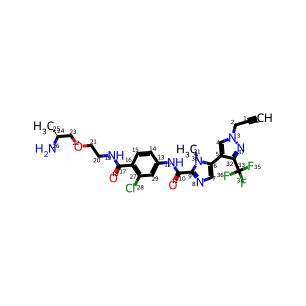 C#CCn1cc(-c2cnc(C(=O)Nc3ccc(C(=O)NCCOC[C@@H](C)N)c(Cl)c3)n2C)c(C(F)(F)F)n1